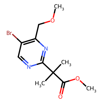 COCc1nc(C(C)(C)C(=O)OC)ncc1Br